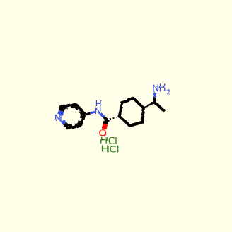 CC(N)[C@H]1CC[C@H](C(=O)Nc2ccncc2)CC1.Cl.Cl